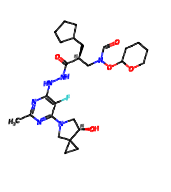 Cc1nc(NNC(=O)[C@@H](CC2CCCC2)CN(C=O)OC2CCCCO2)c(F)c(N2C[C@@H](O)C3(CC3)C2)n1